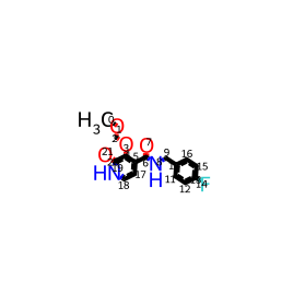 COCOc1c(C(=O)NCc2ccc(F)cc2)cc[nH]c1=O